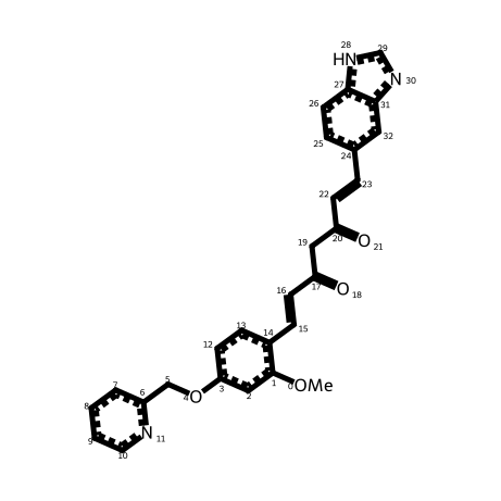 COc1cc(OCc2ccccn2)ccc1/C=C/C(=O)CC(=O)/C=C/c1ccc2[nH]cnc2c1